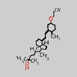 C=C1CC[C@H](OCCC#N)C/C1=C/C=C1\CCC[C@]2(C)C([C@H](C)CCCC(C)(C)O)CC[C@@H]12